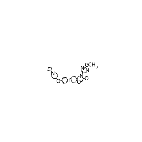 COc1ncc(N2CC3(CCN(c4ccc(OC5CCN(C6CCC6)CC5)cc4)CC3)OCC2=O)cn1